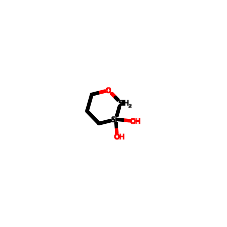 O[Si]1(O)CCCO[SiH2]1